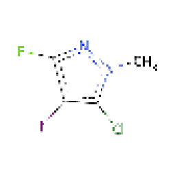 Cn1nc(F)c(I)c1Cl